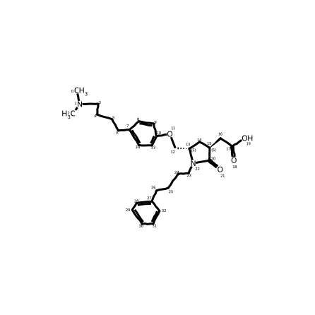 CN(C)CCCCc1ccc(OC[C@@H]2C[C@@H](CC(=O)O)C(=O)N2CCCCc2ccccc2)cc1